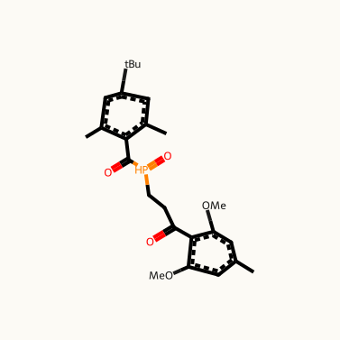 COc1cc(C)cc(OC)c1C(=O)CC[PH](=O)C(=O)c1c(C)cc(C(C)(C)C)cc1C